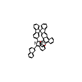 C1=CC2=C(c3ccc4ccccc4c3)N=C(c3ccc4c(c3)C3(c5ccccc5-4)c4ccccc4-c4cc5c6ccccc6c6ccccc6c5cc43)NC2C=C1